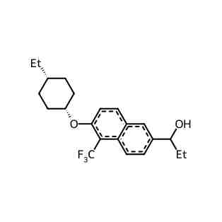 CCC(O)c1ccc2c(C(F)(F)F)c(O[C@H]3CC[C@@H](CC)CC3)ccc2c1